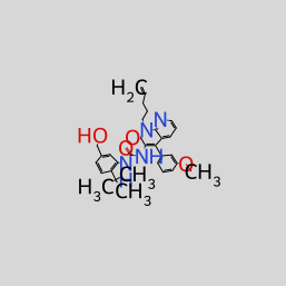 C=CCCCn1c(=O)c(NC(=O)Nc2cc(CO)ccc2C(C)(C)C)c(-c2cccc(OC)c2)c2cccnc21